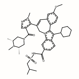 COc1ccc2c(c1)C=C(c1c(C(=O)N3C[C@@H](C)N(C)[C@@H](C)C3)cnn1C)Cn1c-2c(C2CCCCC2)c2ccc(C(=O)NS(=O)(=O)CC(C)C)cc21